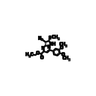 CCOC(=O)C1=NC2C(C#N)C(SC)NN2C(c2ccc(OC)c(OC)c2)=C1